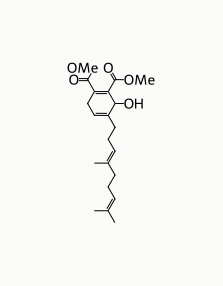 COC(=O)C1=C(C(=O)OC)C(O)C(CC/C=C(\C)CCC=C(C)C)=CC1